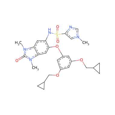 Cn1cnc(S(=O)(=O)Nc2cc3c(cc2Oc2cc(OCC4CC4)cc(OCC4CC4)c2)n(C)c(=O)n3C)c1